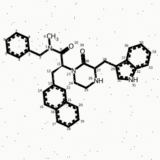 CN(Cc1ccccc1)C(=O)[C@H](Cc1ccc2ccccc2c1)N1CCNC(Cc2c[nH]c3ccccc23)C1=O